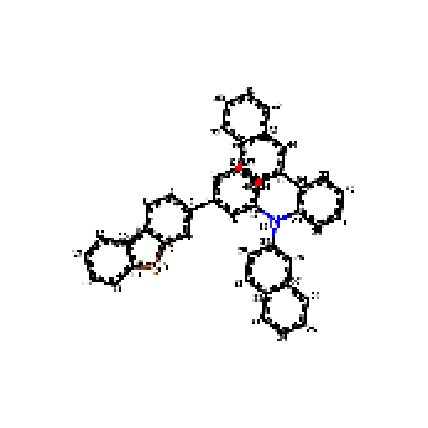 c1cc(-c2ccc3c(c2)sc2ccccc23)cc(N(c2ccc3ccccc3c2)c2ccccc2-c2ccc3ccccc3c2)c1